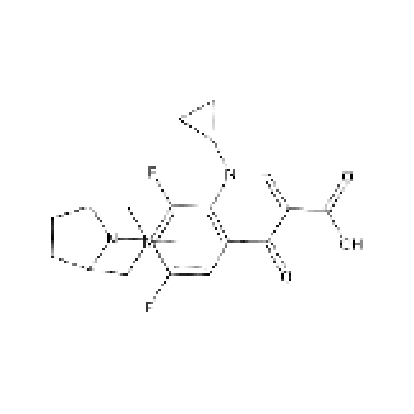 CN1CC2CCC(C1)N2c1c(F)cc2c(=O)c(C(=O)O)cn(C3CC3)c2c1F